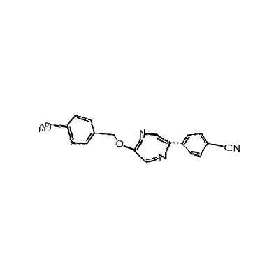 CCCc1ccc(COc2cnc(-c3ccc(C#N)cc3)cn2)cc1